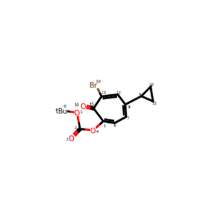 CC(C)(C)OC(=O)Oc1ccc(C2CC2)cc(Br)c1=O